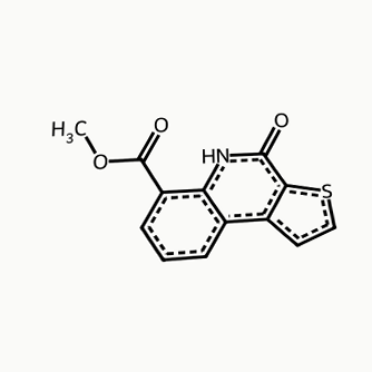 COC(=O)c1cccc2c1[nH]c(=O)c1sccc12